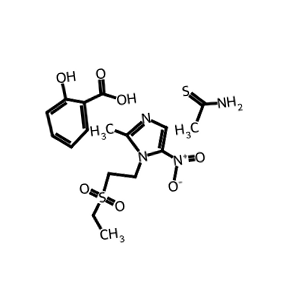 CC(N)=S.CCS(=O)(=O)CCn1c([N+](=O)[O-])cnc1C.O=C(O)c1ccccc1O